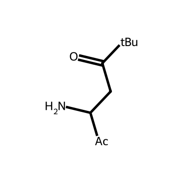 CC(=O)C(N)CC(=O)C(C)(C)C